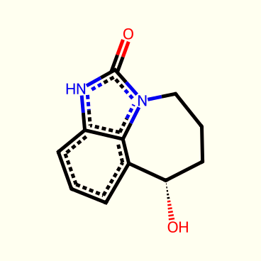 O=c1[nH]c2cccc3c2n1CCC[C@@H]3O